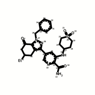 CCC1CC(=O)c2c(c(-c3cnc(C(N)=O)c(NC4CCS(=O)(=O)CC4)c3)nn2Cc2ccccc2)C1